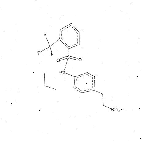 CCC.NCCc1ccc(NS(=O)(=O)c2ccccc2C(F)(F)F)cc1